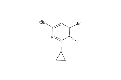 CC(C)(C)c1cc(Br)c(F)c(C2CC2)n1